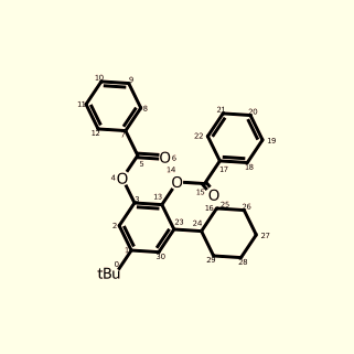 CC(C)(C)c1cc(OC(=O)c2ccccc2)c(OC(=O)c2ccccc2)c(C2CCCCC2)c1